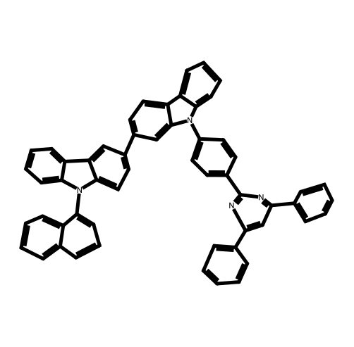 c1ccc(-c2cc(-c3ccccc3)nc(-c3ccc(-n4c5ccccc5c5ccc(-c6ccc7c(c6)c6ccccc6n7-c6cccc7ccccc67)cc54)cc3)n2)cc1